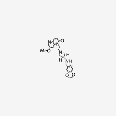 COc1cnc2ccc(=O)n(CCN3C[C@@H]4[C@H](C3)[C@H]4NCc3cc4c(cn3)OCCO4)c2c1